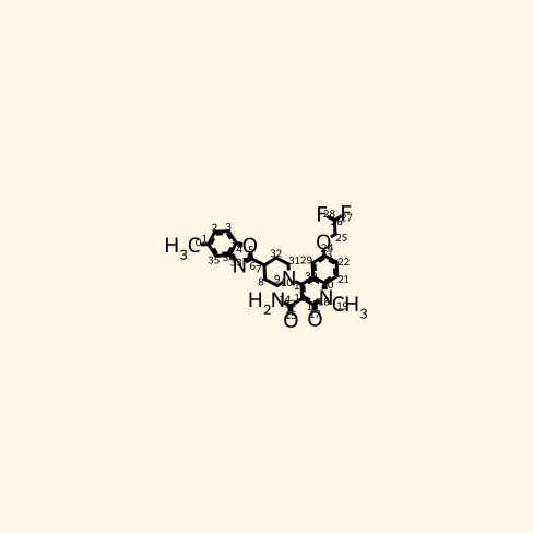 Cc1ccc2oc(C3CCN(c4c(C(N)=O)c(=O)n(C)c5ccc(OCC(F)F)cc45)CC3)nc2c1